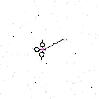 Cc1ccc([PH](CCCCCCCCCCBr)(c2ccc(C)cc2)c2ccc(C)cc2)cc1